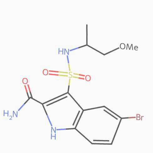 COCC(C)NS(=O)(=O)c1c(C(N)=O)[nH]c2ccc(Br)cc12